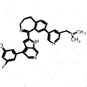 CN(C)Cc1cncc(-c2ccc3c(c2)C(c2cc4c(-c5cc(O)cc(F)c5)cncc4[nH]2)=NCCC3)c1